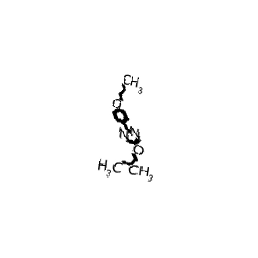 CCCCCOc1ccc(-c2ncc(OCCC(C)CC)cn2)cc1